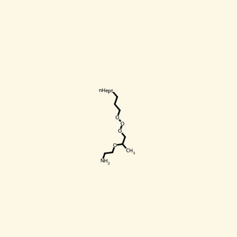 CCCCCCCCCCOOOCC(C)OCCN